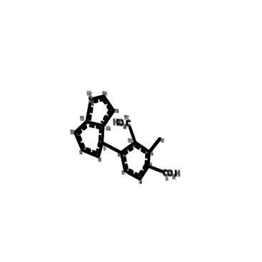 Cc1c(C(=O)O)ccc(-c2cccc3sccc23)c1C(=O)O